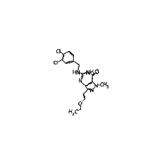 CCOC=Cc1nn(C)c2c(=O)[nH]c(NCc3ccc(Cl)c(Cl)c3)nc12